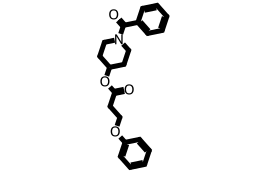 O=C(CCOc1ccccc1)OC1CCN(C(=O)c2ccccc2)CC1